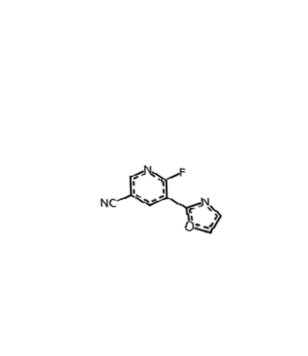 N#Cc1cnc(F)c(-c2ncco2)c1